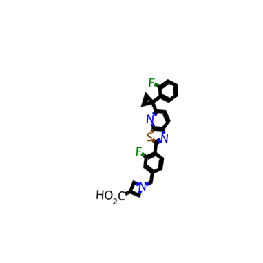 O=C(O)C1CN(Cc2ccc(-c3nc4ccc(C5(c6ccccc6F)C=C5)nc4s3)c(F)c2)C1